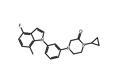 Cc1ccc(F)c2ccn(-c3cccc(N4CCN(C5CC5)C(=O)C4)c3)c12